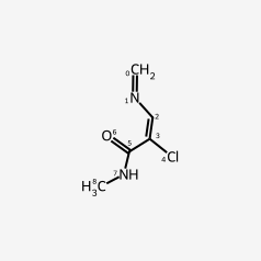 C=N/C=C(/Cl)C(=O)NC